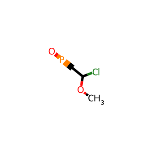 COC(Cl)C#P=O